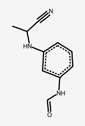 CC(C#N)Nc1cccc(NC=O)c1